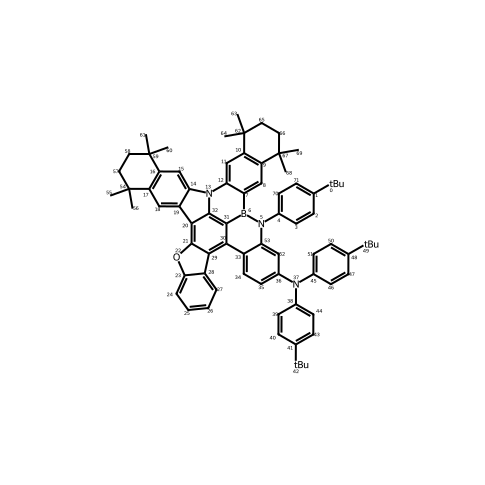 CC(C)(C)c1ccc(N2B3c4cc5c(cc4-n4c6cc7c(cc6c6c8oc9ccccc9c8c(c3c64)-c3ccc(N(c4ccc(C(C)(C)C)cc4)c4ccc(C(C)(C)C)cc4)cc32)C(C)(C)CCC7(C)C)C(C)(C)CCC5(C)C)cc1